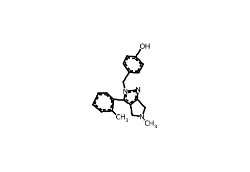 Cc1ccccc1-c1c2c(nn1Cc1ccc(O)cc1)CN(C)C2